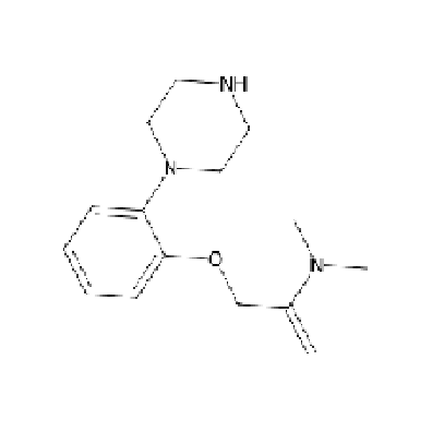 C=C(COc1ccccc1N1CCNCC1)N(C)C